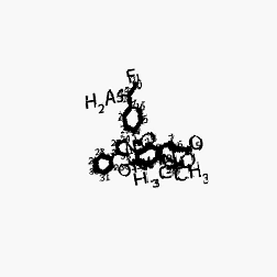 CC1(C)OC(=O)c2cc3cc([N+]4(C(=O)[C@H]5CC[C@H]([C@H]([AsH2])CF)CC5)CC[C@H](c5ccccc5)[C@H]4C(N)=O)ccc3n21